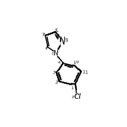 Clc1ccc(-n2cc[c]n2)cc1